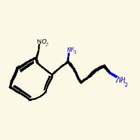 NCCC(N)c1ccccc1[N+](=O)[O-]